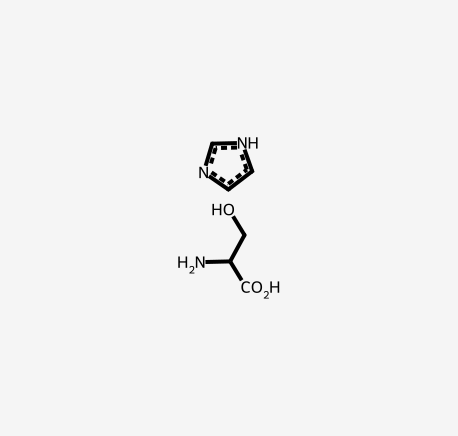 NC(CO)C(=O)O.c1c[nH]cn1